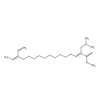 C=C/C(=C\C)CCCCCCCCCC/C=C(\CC(C)C)C(=O)OC